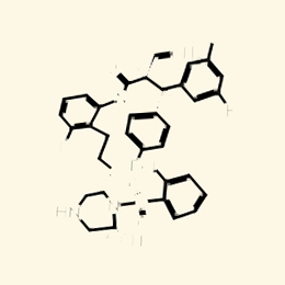 C=C[C@H](C(=O)Nc1cccc(F)c1CCC[C@H]1CNC[C@@H](C)N1S(=O)(=O)c1ccccc1Cl)[C@@H](c1ccc(F)cc1)c1cc(F)cc(F)c1